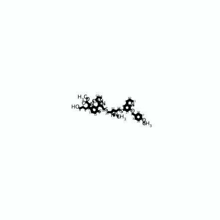 COC(=O)c1c(CCCO)c2ccc(F)c(-c3c(CSCc4cc(CSc5cc(OCc6ccc(OC)cc6)c6ncccc6c5)n(C)n4)nn4c3CCC4)c2n1C